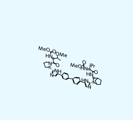 COC(=O)N[C@H](C(=O)N[C@H]1C2CCC(C2)[C@@H]1c1ncc(-c2ccc(-c3ccc(-c4cnc([C@@H]5CCCN5C(=O)[C@@H](NC(=O)OC)C(C)OC)[nH]4)cc3)cc2)[nH]1)C(C)C